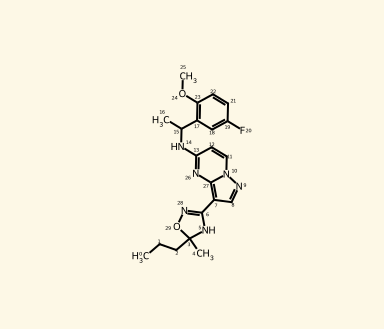 CCCC1(C)NC(c2cnn3ccc(NC(C)c4cc(F)ccc4OC)nc23)=NO1